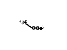 C=C(F)C(=O)OCCCCCCC1CCC(C2CCC(c3ccc(F)c(F)c3)CC2)CC1